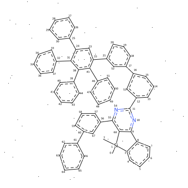 C[Si]1(C)c2ccccc2-c2nc(-c3cccc(-c4cccc(-c5cc(-c6ccccc6)c(-c6ccccc6)c(-c6ccccc6)c5-c5ccccc5)c4)c3)nc(-c3cccc(-c4ccccc4)c3)c21